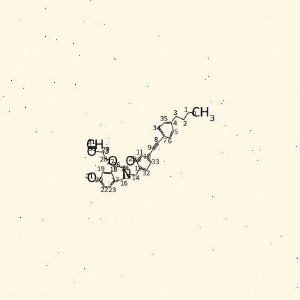 CCCCc1ccc(C#Cc2ccc(CN(Cc3ccc([O])cc3)C(=O)COCCOC)cc2)cc1